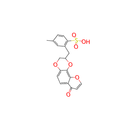 Cc1ccc(S(=O)(=O)O)c(CC2COc3ccc4c(=O)ccoc4c3O2)c1